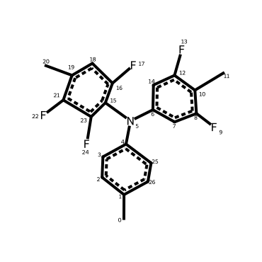 Cc1ccc(N(c2cc(F)c(C)c(F)c2)c2c(F)cc(C)c(F)c2F)cc1